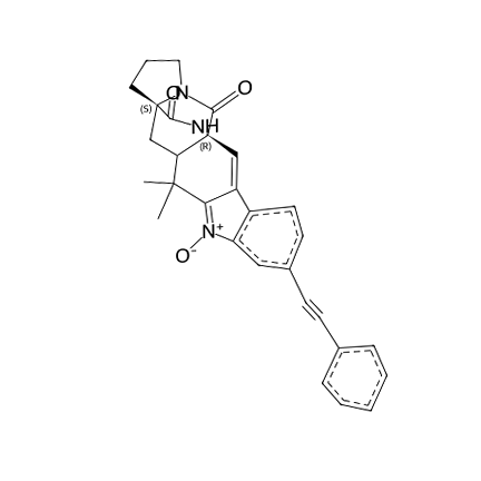 CC1(C)C2=[N+]([O-])c3cc(C#Cc4ccccc4)ccc3C2=C[C@@]23NC(=O)[C@]4(CCCN4C2=O)CC13